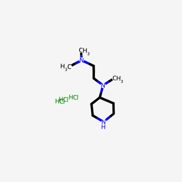 CN(C)CCN(C)C1CCNCC1.Cl.Cl.Cl